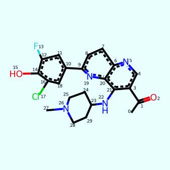 CC(=O)c1cnc2ccc(-c3cc(F)c(O)c(Cl)c3)nc2c1NC1CCN(C)CC1